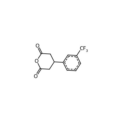 O=C1CC(c2cccc(C(F)(F)F)c2)CC(=O)O1